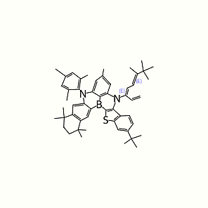 C=C/C(=C\C=C(/C)C(C)(C)C)N1c2cc(C)cc3c2B(c2cc4c(cc2N3c2c(C)cc(C)cc2C)C(C)(C)CCC4(C)C)c2sc3cc(C(C)(C)C)ccc3c21